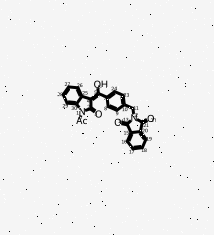 CC(=O)N1C(=O)C(=C(O)c2ccc(CN3C(=O)c4ccccc4C3=O)cc2)c2ccccc21